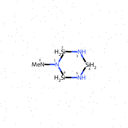 CNN1[SiH2]N[SiH2]N[SiH2]1